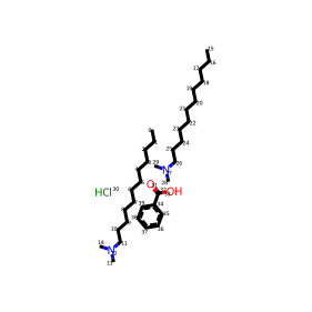 CCCCCCCCCCCCN(C)C.CCCCCCCCCCCCN(C)C.Cl.O=C(O)c1ccccc1